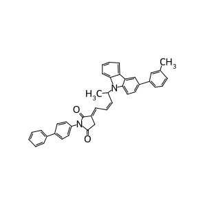 Cc1cccc(-c2ccc3c(c2)c2ccccc2n3C(C)/C=C\C=C2/CC(=O)N(c3ccc(-c4ccccc4)cc3)C2=O)c1